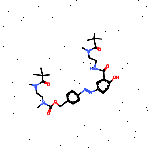 CN(CCN(C)C(=O)C(C)(C)C)C(=O)OCc1ccc(/N=N/c2ccc(O)c(C(=O)NCCN(C)C(=O)C(C)(C)C)c2)cc1